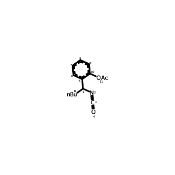 CCCCC(N=C=O)c1ccccc1OC(C)=O